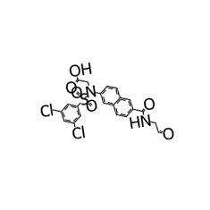 O=CCNC(=O)c1ccc2cc(N(CC(=O)O)S(=O)(=O)c3cc(Cl)cc(Cl)c3)ccc2c1